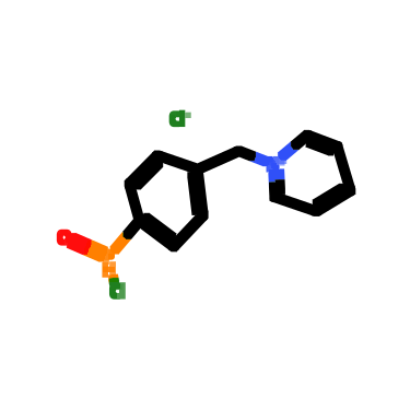 O=[PH](Cl)c1ccc(C[n+]2ccccc2)cc1.[Cl-]